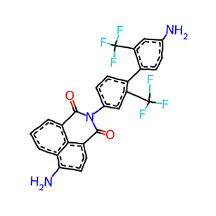 Nc1ccc(-c2ccc(N3C(=O)c4cccc5c(N)ccc(c45)C3=O)cc2C(F)(F)F)c(C(F)(F)F)c1